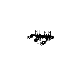 Oc1ccc(CCNc2nc(Nc3ccccc3)nc(Nc3cccc(Nc4nc(NCCc5ccc(O)cc5)nc(Nc5ccccc5)n4)c3)n2)cc1